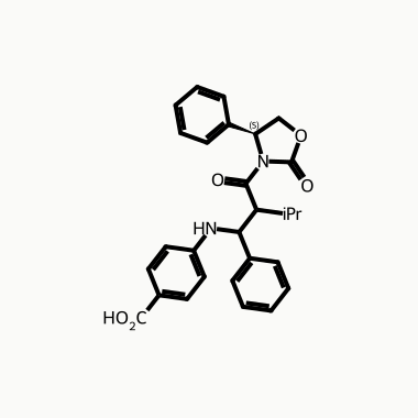 CC(C)C(C(=O)N1C(=O)OC[C@@H]1c1ccccc1)C(Nc1ccc(C(=O)O)cc1)c1ccccc1